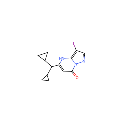 O=c1cc(C(C2CC2)C2CC2)[nH]c2c(I)cnn12